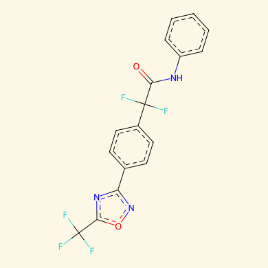 O=C(Nc1ccccc1)C(F)(F)c1ccc(-c2noc(C(F)(F)F)n2)cc1